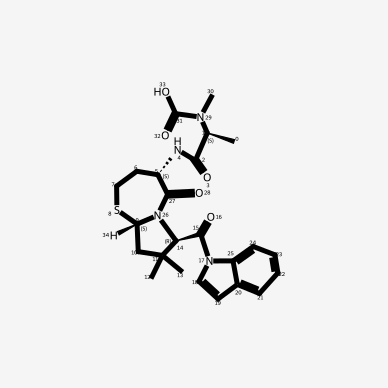 C[C@@H](C(=O)N[C@H]1CCS[C@H]2CC(C)(C)[C@H](C(=O)n3ccc4ccccc43)N2C1=O)N(C)C(=O)O